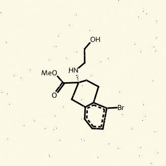 COC(=O)[C@@]1(NCCO)CCc2c(Br)cccc2C1